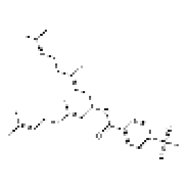 CC(C)=CCC/C(C)=C/CC(/C=C(\C)CCC=C(C)C)OC(=O)c1ccc(S(C)(=O)=O)cc1